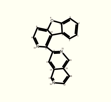 c1ccc2c(c1)oc1ccnc(-c3cc4cnccc4cn3)c12